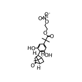 CC(C)(C(=O)OCCO[N+](=O)[O-])c1cc(O)c([C@@H]2CC(=O)[C@@H]3C[C@H]2C3(C)C)c(O)c1